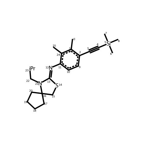 Cc1c(C#C[Si](C)(C)C)ccc(N=C2SCC3(CCCC3)N2CC(C)C)c1C